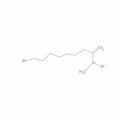 C=C(CCCCCCCC(C)C)N(C)C(C)C